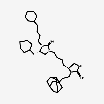 N=C1NC[C@H](CCCCN2C[C@H](CC3CCCCC3)N(CCCCC3CCCCC3)C2=N)N1CCC12CC3CC(CC(C3)C1)C2